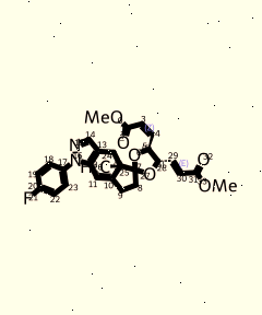 COC(=O)/C=C\[C@@H]1OC2(CCC3=Cc4c(cnn4-c4ccc(F)cc4)C[C@@]32C)O[C@H]1/C=C/C(=O)OC